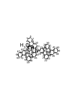 CC1(C)c2ccccc2-c2ccc(N(c3ccc4c(c3)-c3ccccc3C43c4ccccc4-c4c3ccc3ccccc43)c3cccc4c3-c3ccccc3C43c4ccccc4-c4c3ccc3ccccc43)cc21